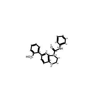 O=C(O)c1ccccc1-c1ccc2c(n1)N(C(=O)Nc1ccccc1)CCO2